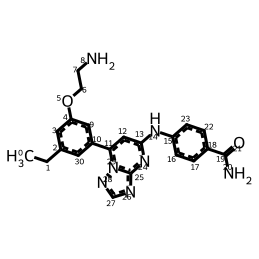 CCc1cc(OCCN)cc(-c2cc(Nc3ccc(C(N)=O)cc3)nc3ncnn23)c1